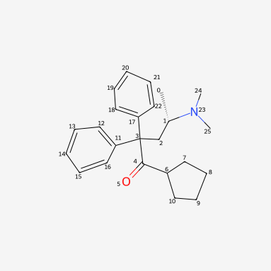 C[C@@H](CC(C(=O)C1CCCC1)(c1ccccc1)c1ccccc1)N(C)C